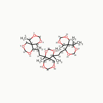 CC1OCOC(C)C12COCOC2CCC1(C)OCOC(C)(CCC2OCOC(C)(C)C23COCOC3C)C12COCOC2